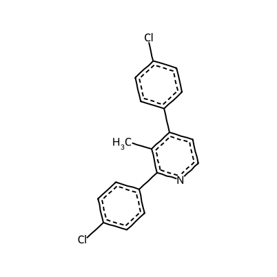 Cc1c(-c2ccc(Cl)cc2)ccnc1-c1ccc(Cl)cc1